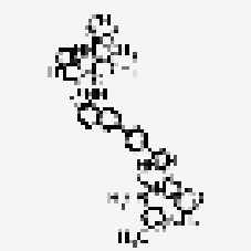 COC(=O)N[C@H](C(=O)N1[C@H](c2nc3ccc4cc(-c5ccc(-c6cnc([C@@H]7C[C@@]8(CCCOC8)CN7C(=O)[C@@H](C)C7C[C@@H](C)O[C@H](C)C7)[nH]6)cc5)ccc4c3[nH]2)C[C@@H]2CCC[C@@H]21)C(C)C